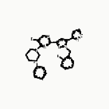 Fc1ccccc1Cn1nc(-c2ncc(F)c(N3CCC[C@H](c4ccccc4)C3)n2)cc1-c1ccon1